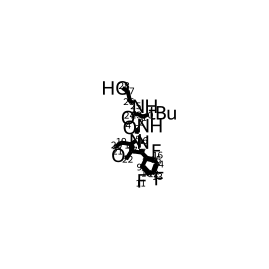 CC(C)(C)C(NC(=O)n1nc(-c2cc(F)c(F)cc2F)c2c1CCOC2)C(=O)NCCO